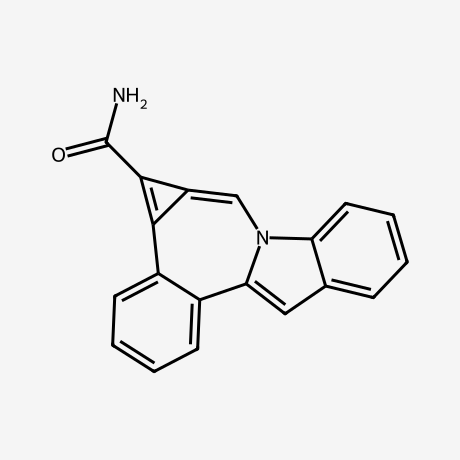 NC(=O)C1=C2C1=Cn1c(cc3ccccc31)-c1ccccc12